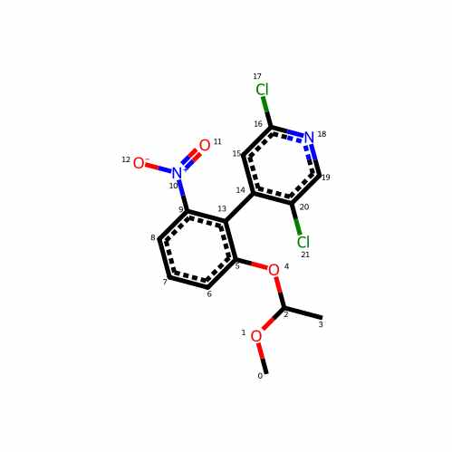 COC(C)Oc1cccc([N+](=O)[O-])c1-c1cc(Cl)ncc1Cl